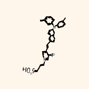 Cc1cccc(N(c2cccc(C)c2)c2ccc3cc(/C=C/c4cc[n+](CCCS(=O)(=O)O)cc4F)ccc3c2)c1